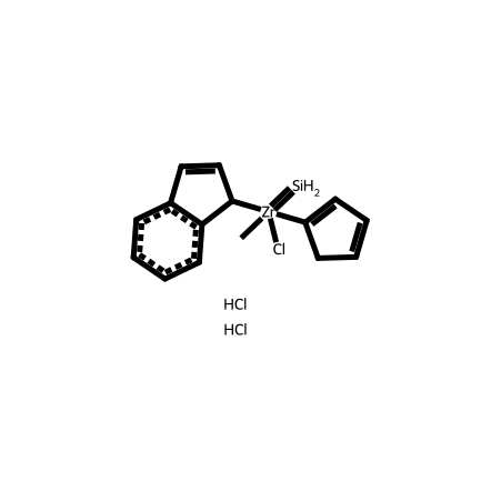 Cl.Cl.[CH3][Zr](=[SiH2])([Cl])([C]1=CC=CC1)[CH]1C=Cc2ccccc21